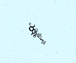 CC(c1ccc(F)c(I)c1Cl)S(=O)(=O)NCOCC[Si](C)(C)C